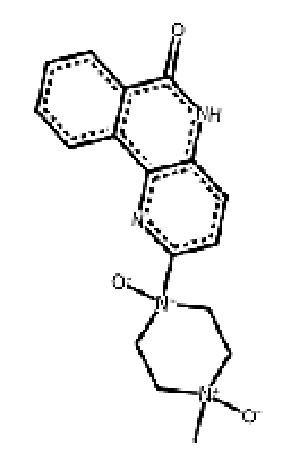 C[N+]1([O-])CC[N+]([O-])(c2ccc3[nH]c(=O)c4ccccc4c3n2)CC1